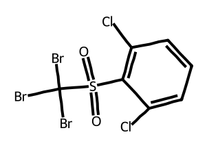 O=S(=O)(c1c(Cl)cccc1Cl)C(Br)(Br)Br